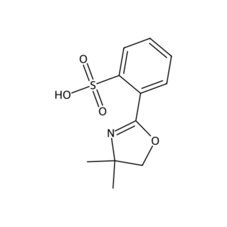 CC1(C)COC(c2ccccc2S(=O)(=O)O)=N1